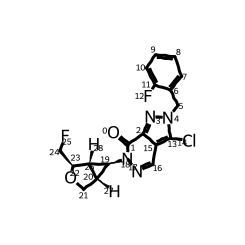 O=c1c2nn(Cc3ccccc3F)c(Cl)c2cnn1[C@H]1[C@@H]2CO[C@@H](CF)[C@@H]21